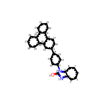 O=c1nc2cccccc-2n1-c1ccc(-c2ccc3c4ccccc4c4ccccc4c3c2)cc1